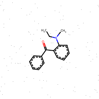 CCN(C)c1ccccc1C(=O)c1ccccc1